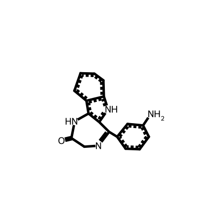 Nc1cccc(C2=NCC(=O)Nc3c2[nH]c2ccccc32)c1